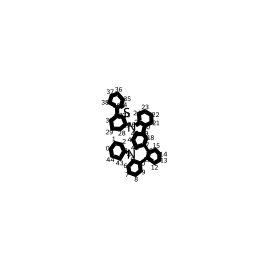 c1ccc(N2c3ccccc3-c3ccccc3-c3cc4c5ccccc5n(-c5cccc6c5sc5ccccc56)c4cc32)cc1